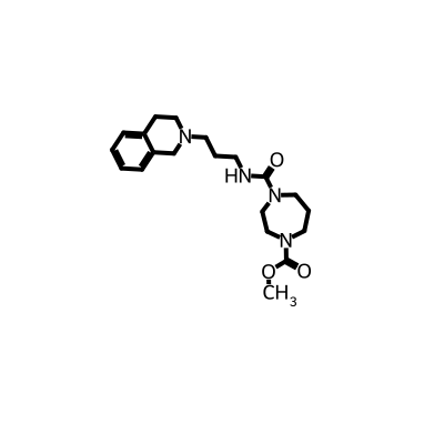 COC(=O)N1CCCN(C(=O)NCCCN2CCc3ccccc3C2)CC1